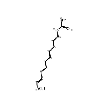 CCCCCCCCC=CCCCCCCCCOC(=O)CCC